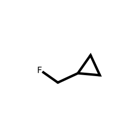 FCC1CC1